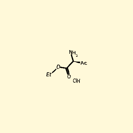 CCOC(=O)[C@@H](N)C(C)=O.Cl